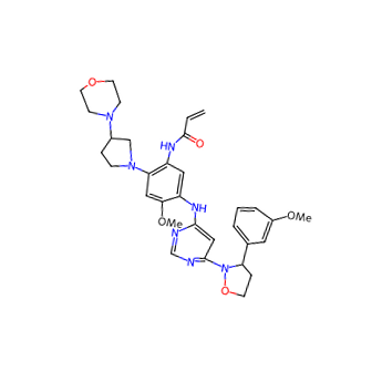 C=CC(=O)Nc1cc(Nc2cc(N3OCCC3c3cccc(OC)c3)ncn2)c(OC)cc1N1CCC(N2CCOCC2)C1